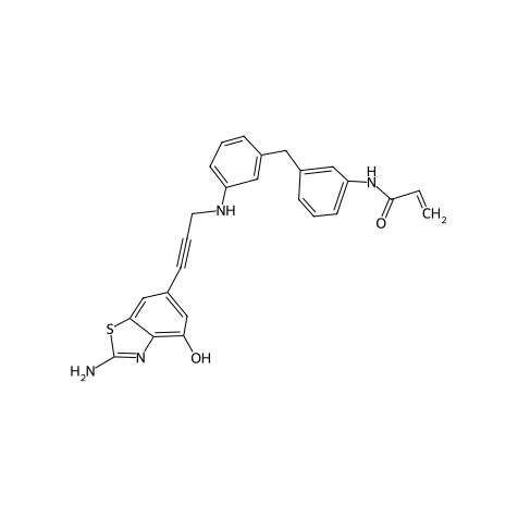 C=CC(=O)Nc1cccc(Cc2cccc(NCC#Cc3cc(O)c4nc(N)sc4c3)c2)c1